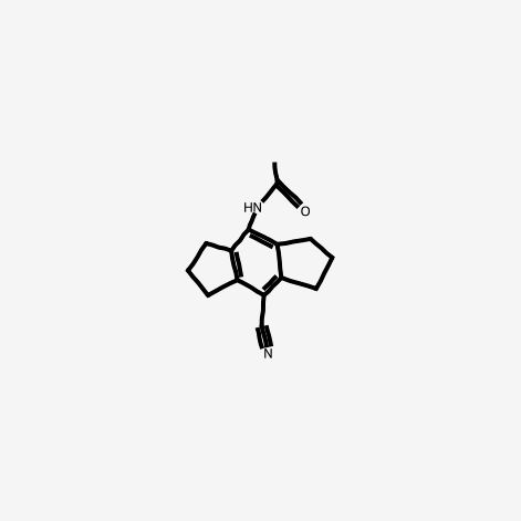 CC(=O)Nc1c2c(c(C#N)c3c1CCC3)CCC2